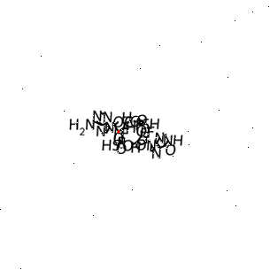 Nc1ncnc2c1ncn2[C@@H]1O[C@@H]2COP(=O)(S)O[C@H]3[C@@H](F)[C@H](n4cnc5c(=O)[nH]cnc54)O[C@@H]3COP(=O)(S)O[C@@H]1[C@H]2F